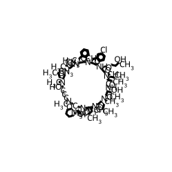 CC(C)CC1C(=O)N[C@H](C(=O)N2CCCCC2)CC(=O)N(C)CCCC(O)N(C)[C@@H](CC(C)C)C(=O)N[C@@H](C(C)C)C(=O)N(C)[C@@H](Cc2ccccc2)C(=O)N(C)[C@@H](Cc2cccc(Cl)c2)C(=O)N[C@@H](COCC[C@@H](C)O)C(=O)N(C)[C@@](C=O)(CC(C)C)CN[C@@H]([C@@H](C)O)C(=O)N(C)[C@@H](CC(C)C)C(=O)N1C